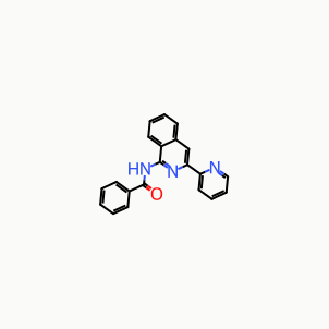 O=C(Nc1nc(-c2ccccn2)cc2ccccc12)c1ccccc1